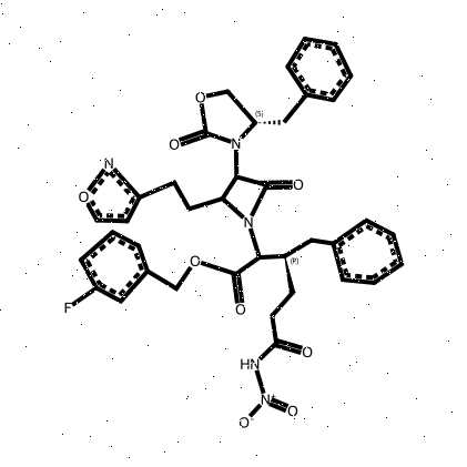 O=C(CC[C@H](Cc1ccccc1)C(C(=O)OCc1cccc(F)c1)N1C(=O)C(N2C(=O)OC[C@@H]2Cc2ccccc2)C1CCc1ccon1)N[N+](=O)[O-]